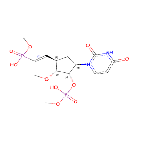 CO[C@H]1[C@@H](OP(=O)(O)OC)[C@H](n2ccc(=O)[nH]c2=O)C[C@@H]1/C=C/P(=O)(O)OC